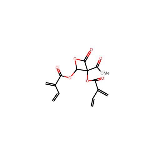 C=CC(=C)C(=O)OC1OC(=O)C1(OC(=O)C(=C)C=C)C(=O)OC